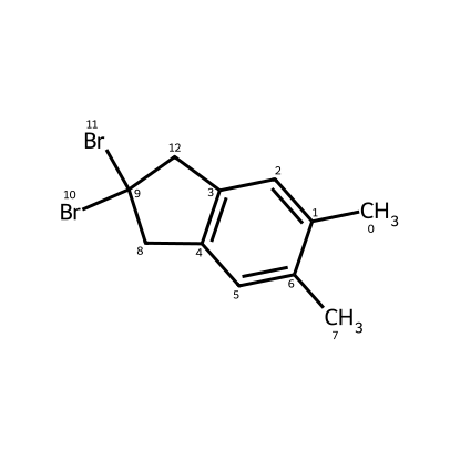 Cc1cc2c(cc1C)CC(Br)(Br)C2